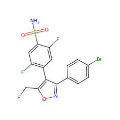 NS(=O)(=O)c1cc(F)c(-c2c(-c3ccc(Br)cc3)noc2CF)cc1F